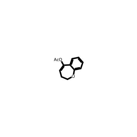 CC(=O)OC1=CCCOc2ccccc21